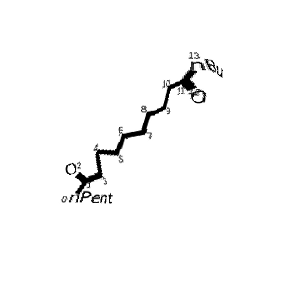 CCCCCC(=O)CCC[CH]CCCCC(=O)CCCC